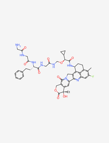 CC[C@@]1(O)C(=O)OCc2c1cc1n(c2=O)Cc2c-1nc1cc(F)c(C)c3c1c2[C@@H](NC(=O)[C@@H](OCNC(=O)CNC(=O)[C@H](CCc1ccccc1)NC(=O)CNC(=O)CN)C1CC1)CC3